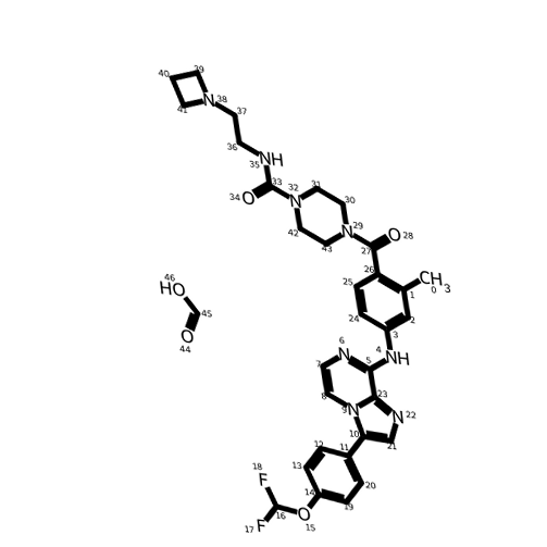 Cc1cc(Nc2nccn3c(-c4ccc(OC(F)F)cc4)cnc23)ccc1C(=O)N1CCN(C(=O)NCCN2CCC2)CC1.O=CO